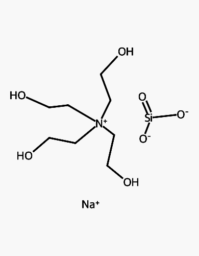 O=[Si]([O-])[O-].OCC[N+](CCO)(CCO)CCO.[Na+]